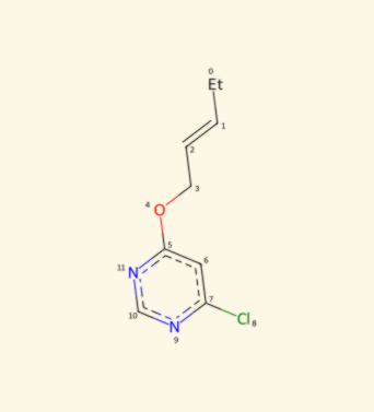 CCC=CCOc1cc(Cl)ncn1